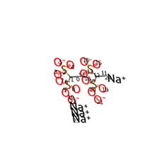 CC(S(=O)(=O)[O-])S(=O)(=O)O[O-].CC(S(=O)(=O)[O-])S(=O)(=O)O[O-].[Na+].[Na+].[Na+].[Na+]